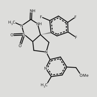 COCc1cc(C)nc(N2CC3[C@](c4cc(F)c(F)cc4F)(C2)NC(=N)N(C)S3(=O)=O)c1